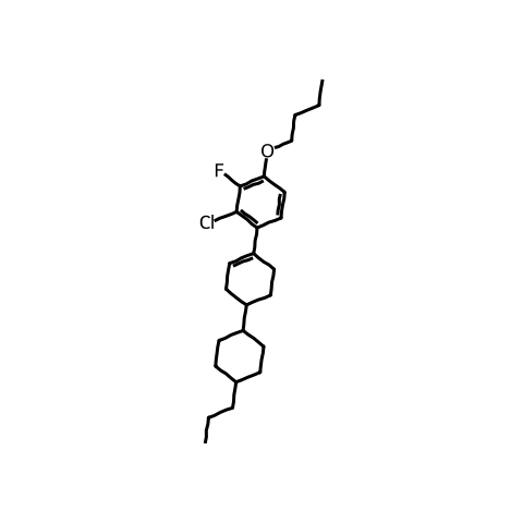 CCCCOc1ccc(C2=CCC(C3CCC(CCC)CC3)CC2)c(Cl)c1F